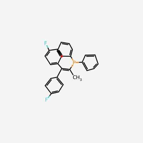 CC(=C(c1ccc(F)cc1)c1ccc(F)cc1)P(c1ccccc1)c1ccccc1